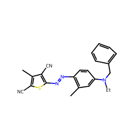 CCN(Cc1ccccc1)c1ccc(/N=N/c2sc(C#N)c(C)c2C#N)c(C)c1